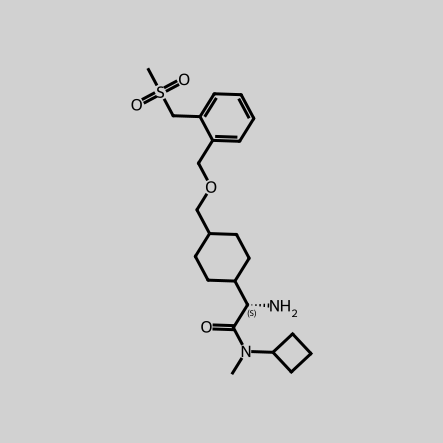 CN(C(=O)[C@@H](N)C1CCC(COCc2ccccc2CS(C)(=O)=O)CC1)C1CCC1